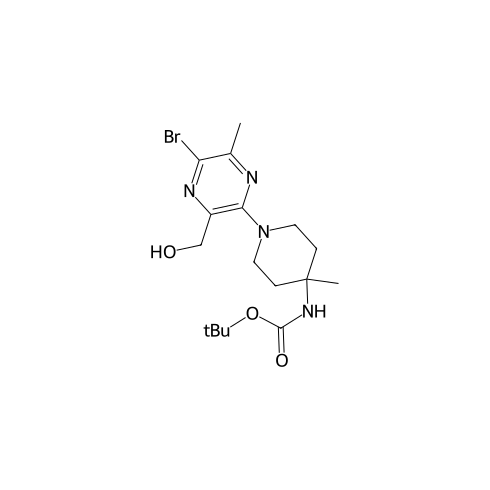 Cc1nc(N2CCC(C)(NC(=O)OC(C)(C)C)CC2)c(CO)nc1Br